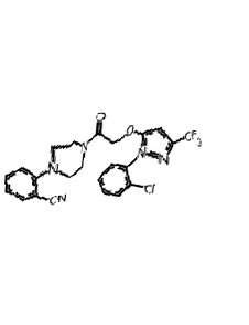 N#Cc1ccccc1N1CCN(C(=O)COc2cc(C(F)(F)F)nn2-c2ccccc2Cl)CC1